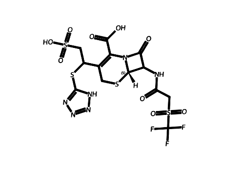 O=C(CS(=O)(=O)C(F)(F)F)NC1C(=O)N2C(C(=O)O)=C(C(CS(=O)(=O)O)Sc3nnn[nH]3)CS[C@@H]12